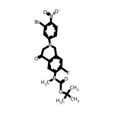 CN(C(=O)OC(C)(C)C)c1cc2c(cc1F)CN(c1ccc([N+](=O)[O-])c(Br)c1)CC2=O